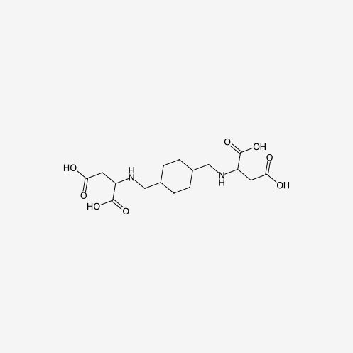 O=C(O)CC(NCC1CCC(CNC(CC(=O)O)C(=O)O)CC1)C(=O)O